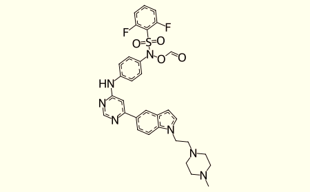 CN1CCN(CCn2ccc3cc(-c4cc(Nc5ccc(N(OC=O)S(=O)(=O)c6c(F)cccc6F)cc5)ncn4)ccc32)CC1